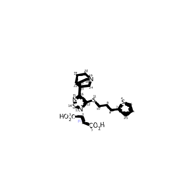 O=C(O)/C=C/C(=O)O.c1csc(CCCSc2nsnc2C2CN3CCC2CC3)c1